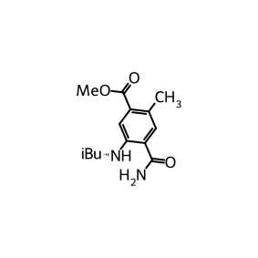 CC[C@@H](C)Nc1cc(C(=O)OC)c(C)cc1C(N)=O